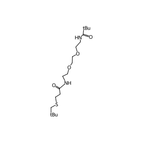 CC(C)(C)CSCCC(=O)NCCOCCOCCNC(=O)C(C)(C)C